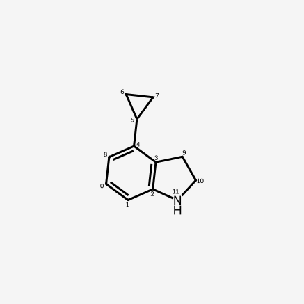 c1cc2c(c(C3CC3)c1)CCN2